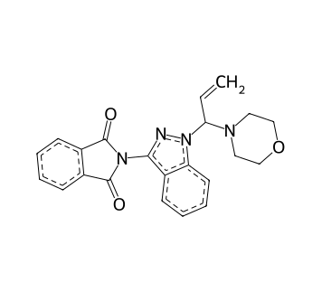 C=CC(N1CCOCC1)n1nc(N2C(=O)c3ccccc3C2=O)c2ccccc21